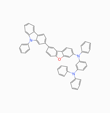 c1ccc(N(c2ccccc2)c2cccc(N(c3ccccc3)c3ccc4c(c3)oc3ccc(-c5ccc6c7ccccc7n(-c7ccccc7)c6c5)cc34)c2)cc1